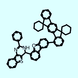 c1ccc(C2=Nc3c(sc4ccccc34)C(c3cccc4c3oc3ccc(-c5cccc6c5-c5cc7c(cc5C65CCCCC5)-c5ccccc5C75CCCCC5)cc34)N2)cc1